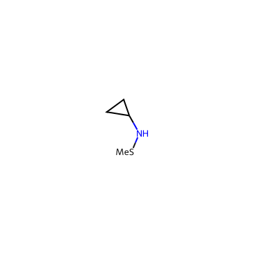 CSNC1CC1